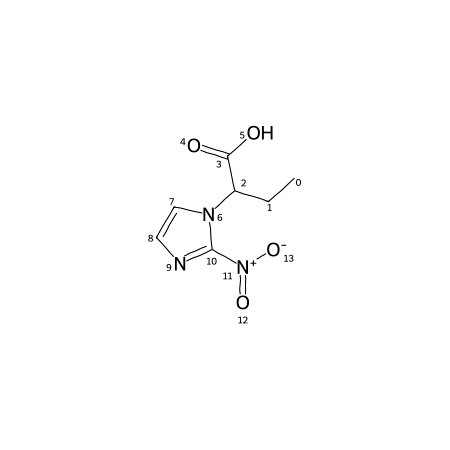 CCC(C(=O)O)n1ccnc1[N+](=O)[O-]